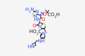 CC(C)(O/N=C(\C(=O)NC1C(=O)N2C(C(=O)O)=C(C[n+]3ccc(NCC4CNC4)cc3)CSC12)c1nsc(N)n1)C(=O)O